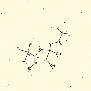 CC(C)OCC(O)(CO)OC(CO)C(C)(C)C